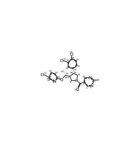 Cc1ncc(C(=O)N2CC([C@@H](C)Oc3ccc(Cl)cn3)[C@H](c3ccc(Cl)c(Cl)c3)C2)cn1